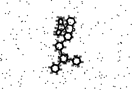 C1=CCC2Oc3ccc(-c4cccc(-c5nc(-c6ccccc6)nc(-c6ccccn6)n5)c4)cc3C3(C2=C1)c1ccccc1-c1ccccc13